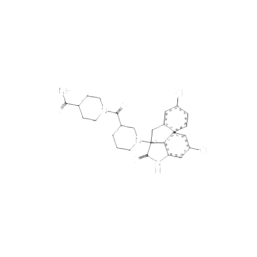 NC(=O)C1CCN(C(=O)C2CCCN(C3(Cc4cccc(Cl)c4)C(=O)Nc4cc(Cl)ccc43)C2)CC1